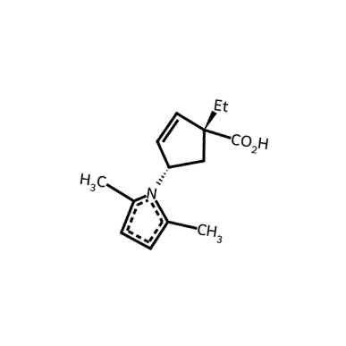 CC[C@]1(C(=O)O)C=C[C@@H](n2c(C)ccc2C)C1